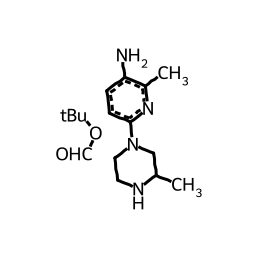 CC(C)(C)OC=O.Cc1nc(N2CCNC(C)C2)ccc1N